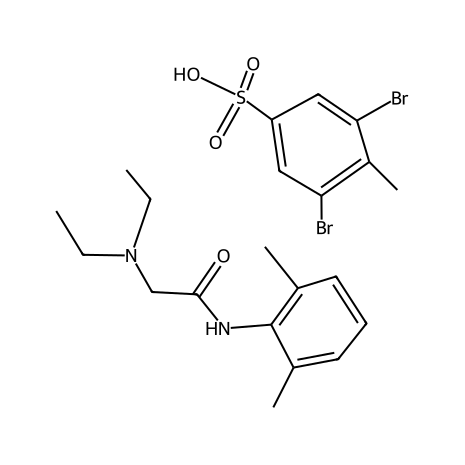 CCN(CC)CC(=O)Nc1c(C)cccc1C.Cc1c(Br)cc(S(=O)(=O)O)cc1Br